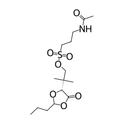 CCCC1OC(=O)[C@@H](C(C)(C)COS(=O)(=O)CCCNC(C)=O)O1